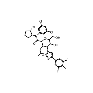 CC(=O)OC1C(C(=O)N(c2cc(Cl)cc(Cl)c2)[C@H]2CCC[C@@H]2O)OC(CO)C(O)C1n1cc(-c2cc(F)c(C)c(F)c2)nn1